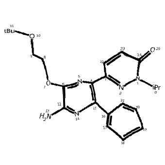 CC(C)n1nc(-c2nc(OCCOC(C)(C)C)c(N)nc2-c2ccccc2)ccc1=O